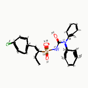 CC/C(=C\c1ccc(Cl)cc1)S(=O)(=O)NC(=O)N(c1ccccc1)c1ccccc1